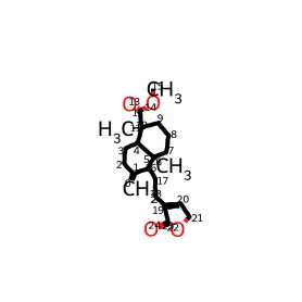 C=C1CCC2[C@](C)(CCC[C@]2(C)C(=O)OC)C1CCC1=CCOC1=O